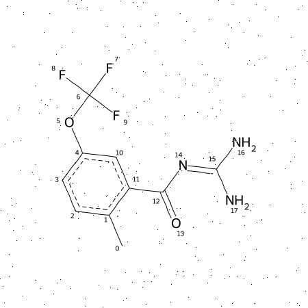 Cc1ccc(OC(F)(F)F)cc1C(=O)N=C(N)N